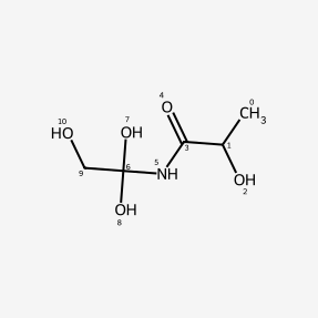 CC(O)C(=O)NC(O)(O)CO